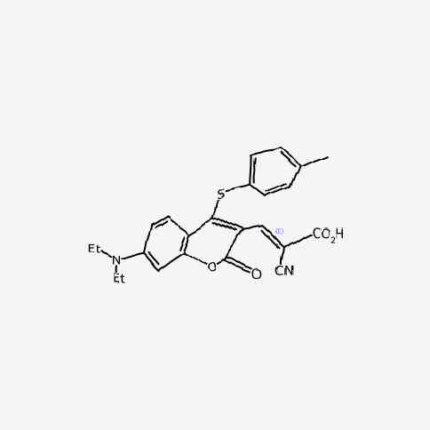 CCN(CC)c1ccc2c(Sc3ccc(C)cc3)c(/C=C(\C#N)C(=O)O)c(=O)oc2c1